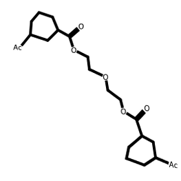 CC(=O)C1CCCC(C(=O)OCCOCCOC(=O)C2CCCC(C(C)=O)C2)C1